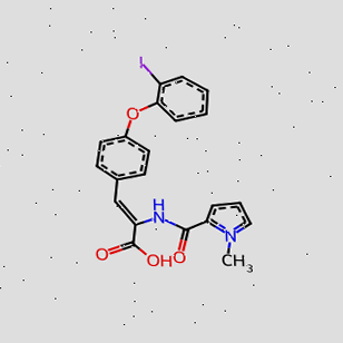 Cn1cccc1C(=O)N/C(=C\c1ccc(Oc2ccccc2I)cc1)C(=O)O